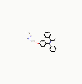 CC/C(=C(\c1ccccc1)c1ccc(OCCN(C)SC)cc1)c1ccccc1